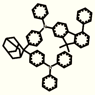 CC1(C)c2cc(N(c3ccccc3)c3ccc(C4(c5ccc(N(c6ccccc6)c6ccccc6)cc5)C5CC6CC(C5)CC4C6)cc3)ccc2-c2c(-c3ccccc3)cccc21